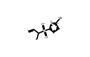 C=CC(C)S(=O)(=O)c1ccc(Br)s1